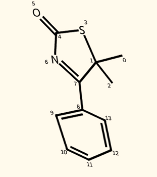 CC1(C)SC(=O)N=C1c1ccccc1